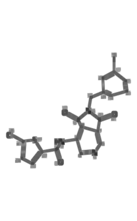 O=C(Nc1cncc2c1C(=O)N(Cc1cccc(I)c1)C2=O)c1ccc(Cl)s1